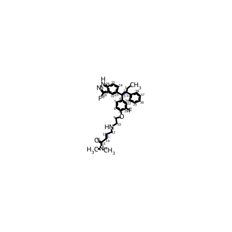 CC/C(=C(/c1ccc(OCCNC/C=C/C(=O)N(C)C)c(F)c1)c1ccc2[nH]nc(F)c2c1)c1ccccc1